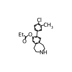 CCC(=O)Oc1cc2c(cc1-c1ccc(Cl)c(C)c1)CCNCC2